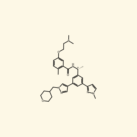 Cc1ccc(OCCN(C)C)cc1C(=O)N[C@H](C)c1cc(-c2cnn(CC3CCOCC3)c2)cc(-c2ccn(C)n2)c1